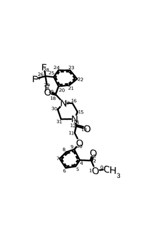 COC(=O)c1ccccc1OCC(=O)N1CCN(C(=O)c2ccccc2C(F)(F)F)CC1